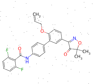 C=CCOc1ccc(C2=NOC(C)(C)C2=O)cc1-c1ccc(NC(=O)c2c(F)cccc2F)cc1